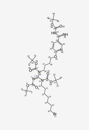 CC(C)(C)OC(=O)/N=C(\N(CCCCCCCBr)C(=O)OC(C)(C)C)N(CCCCOc1ccc(C(=N)NC(=O)OC(C)(C)C)cn1)C(=O)OC(C)(C)C